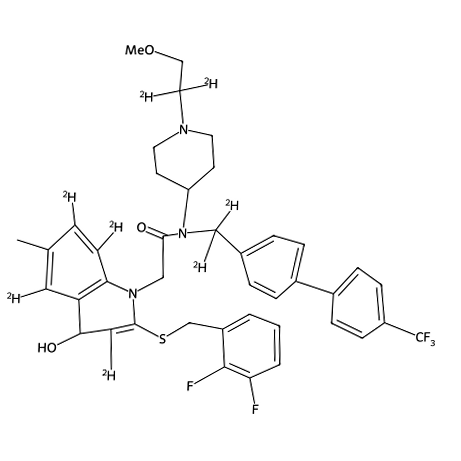 [2H]C1=C(SCc2cccc(F)c2F)N(CC(=O)N(C2CCN(C([2H])([2H])COC)CC2)C([2H])([2H])c2ccc(-c3ccc(C(F)(F)F)cc3)cc2)c2c([2H])c([2H])c(C)c([2H])c2C1O